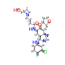 O=C(/C=C/CN1CCC1CO)Nc1cc2c(Nc3ccc(F)c(Cl)c3)ncnc2cc1OC1CCOC1